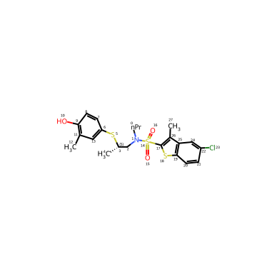 CCCN(C[C@H](C)Sc1ccc(O)c(C)c1)S(=O)(=O)c1sc2ccc(Cl)cc2c1C